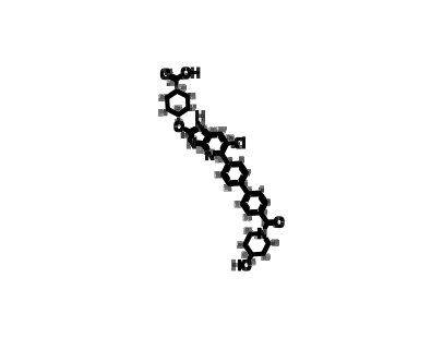 O=C(c1ccc(-c2ccc(-c3nc4nc(O[C@H]5CC[C@H](C(=O)O)CC5)[nH]c4cc3Cl)cc2)cc1)N1CCC(O)CC1